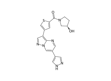 O=C(c1cc(-c2cnn3cc(-c4cn[nH]c4)cnc23)cs1)N1CC[C@@H](O)C1